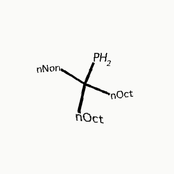 CCCCCCCCCC(P)(CCCCCCCC)CCCCCCCC